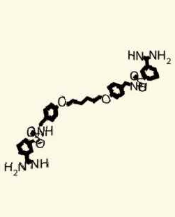 N=C(N)c1cccc(S(=O)(=O)NCc2ccc(OCCCCCCOc3ccc(CNS(=O)(=O)c4cccc(C(=N)N)c4)cc3)cc2)c1